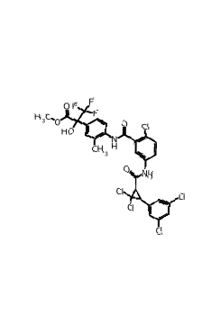 COC(=O)C(O)(c1ccc(NC(=O)c2cc(NC(=O)C3C(c4cc(Cl)cc(Cl)c4)C3(Cl)Cl)ccc2Cl)c(C)c1)C(F)(F)F